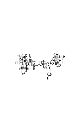 C[C@@H]1COCCN1C[C@H]1CN(C(=O)O)[C@H](C)CN1CC(=O)N1C[C@@](C)(C(=O)NCCCC(=O)Nc2ccc3c(c2)[C@@H](C(=O)Nc2c(F)cccc2F)N(C(=O)[C@@H](NC(=O)[C@H](C)N(C)C(=O)OC(C)(C)C)C2CCOCC2)C3)c2ccc(Cc3ccc(F)cc3)cc21